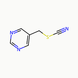 N#CSCc1cncnc1